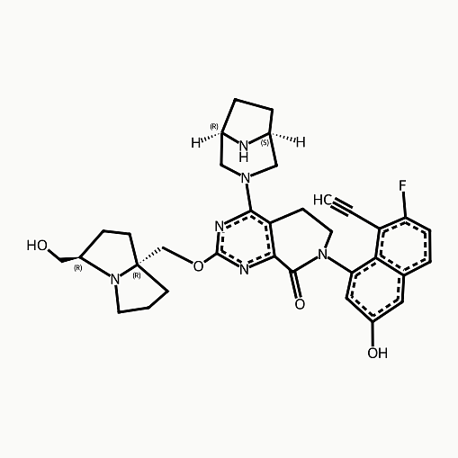 C#Cc1c(F)ccc2cc(O)cc(N3CCc4c(nc(OC[C@]56CCCN5[C@@H](CO)CC6)nc4N4C[C@H]5CC[C@@H](C4)N5)C3=O)c12